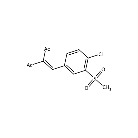 CC(=O)C(=Cc1ccc(Cl)c(S(C)(=O)=O)c1)C(C)=O